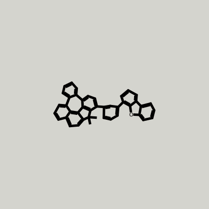 CC1(C)c2ccc3cccc4c3c2-c2c(ccc(-c3cccc(-c5cccc6c5oc5ccccc56)c3)c21)-c1ccccc1-4